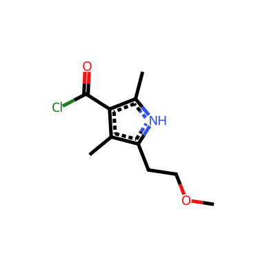 COCCc1[nH]c(C)c(C(=O)Cl)c1C